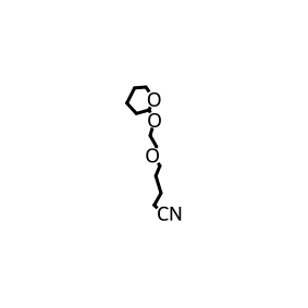 N#CCCCCOCCOC1CCCCO1